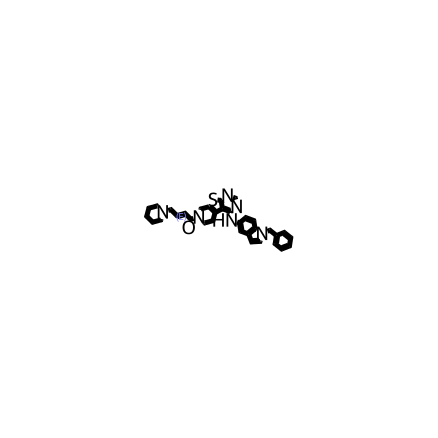 O=C(/C=C/CN1CCCCC1)N1CCc2c(sc3ncnc(Nc4ccc5c(ccn5Cc5ccccc5)c4)c23)C1